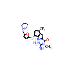 CN(C(=N)N)C(=O)c1cc2c(C(F)(F)F)ccc(Oc3ccc(CN4CCCC4)o3)c2[nH]1